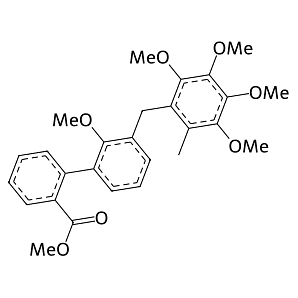 COC(=O)c1ccccc1-c1cccc(Cc2c(C)c(OC)c(OC)c(OC)c2OC)c1OC